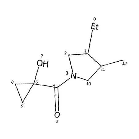 CCC1CN(C(=O)C2(O)CC2)CC1C